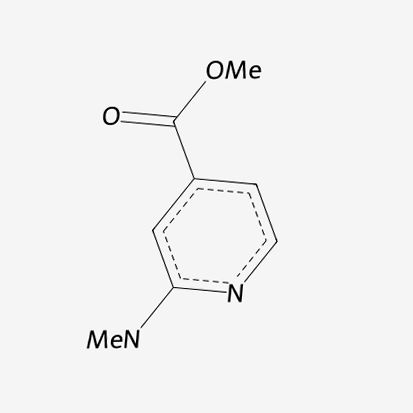 CNc1cc(C(=O)OC)ccn1